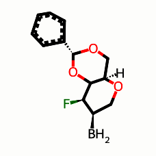 B[C@@H]1CO[C@@H]2CO[C@@H](c3ccccc3)OC2[C@@H]1F